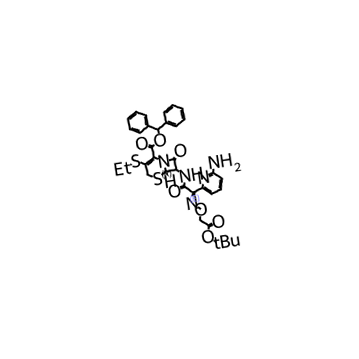 CCSC1=C(C(=O)OC(c2ccccc2)c2ccccc2)N2C(=O)C(NC(=O)/C(=N/OCC(=O)OC(C)(C)C)c3cccc(N)n3)[C@H]2SC1